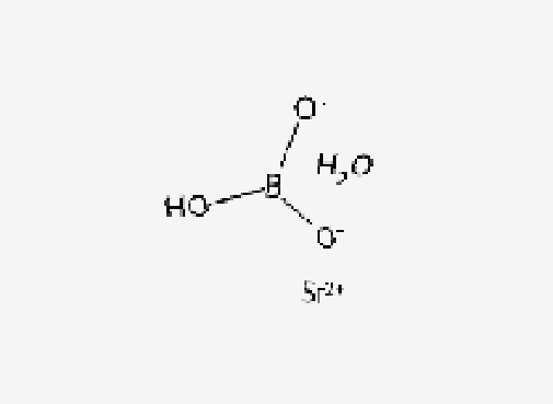 O.[O-]B([O-])O.[Sr+2]